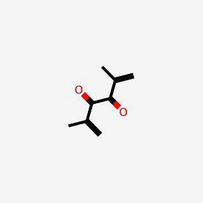 C=C(C)C(=O)C(=O)C(=C)C